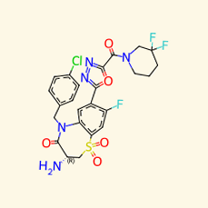 N[C@H]1CS(=O)(=O)c2cc(F)c(-c3nnc(C(=O)N4CCCC(F)(F)C4)o3)cc2N(Cc2ccc(Cl)cc2)C1=O